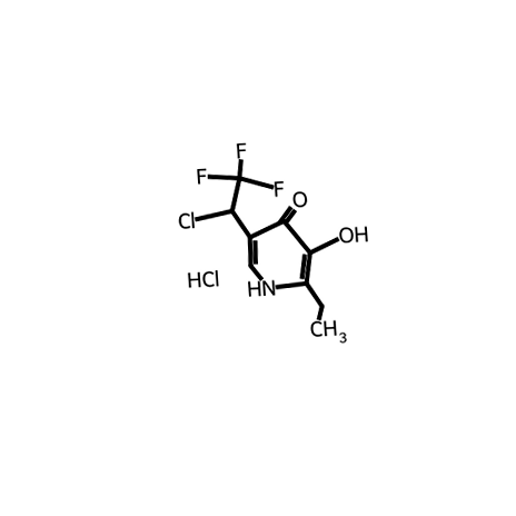 CCc1[nH]cc(C(Cl)C(F)(F)F)c(=O)c1O.Cl